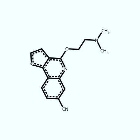 CN(C)CCOc1nc2cc(C#N)ccc2c2sccc12